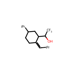 CC(C)/C=C1/CCC(C(C)C)CC1C(O)C(F)(F)F